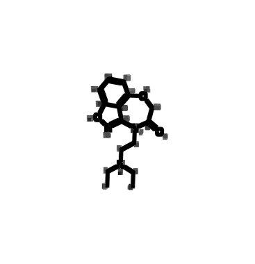 CCN(CC)CCN1C(=O)COc2cccc3onc1c23